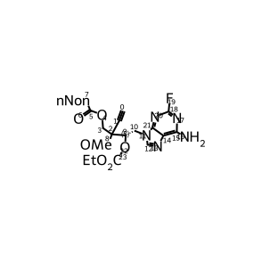 C#CC(COC(=O)CCCCCCCCC)(OC)[C@H](Cn1cnc2c(N)nc(F)nc21)OC(=O)OCC